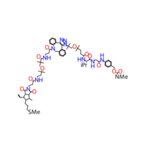 C=CC1C(CCCSC)C(C)C2C(=O)N(CCC(=O)NCCC(C)(C)OCC(C)(C)C(=O)NCCC(=O)N3Cc4ccccc4-c4c(nnn4C(C)(C)COC(C)(C)CCC(=O)NC(C(=O)NCC(=O)Nc4ccc(COC(=O)NC)cc4)C(C)C)-c4ccccc43)C(=O)C12